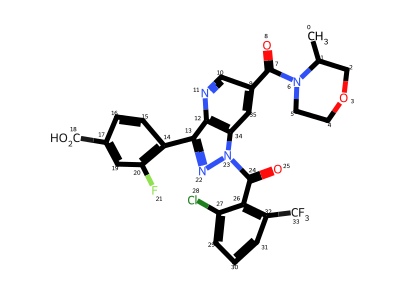 CC1COCCN1C(=O)c1cnc2c(-c3ccc(C(=O)O)cc3F)nn(C(=O)c3c(Cl)cccc3C(F)(F)F)c2c1